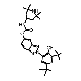 CC1(C)CC(NC(=O)Oc2ccc3nn(-c4cc(C(C)(C)C)cc(C(C)(C)C)c4O)nc3c2)CC(C)(C)N1